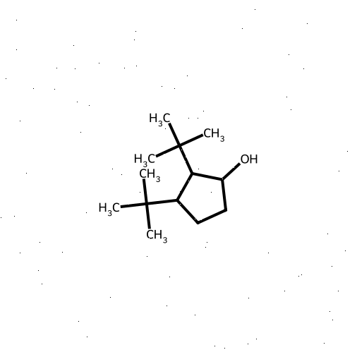 CC(C)(C)C1CCC(O)C1C(C)(C)C